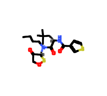 CCCCN(C(=O)[C@H](CC(C)(C)C)NC(=O)c1ccsc1)[C@@H]1SOCC1=O